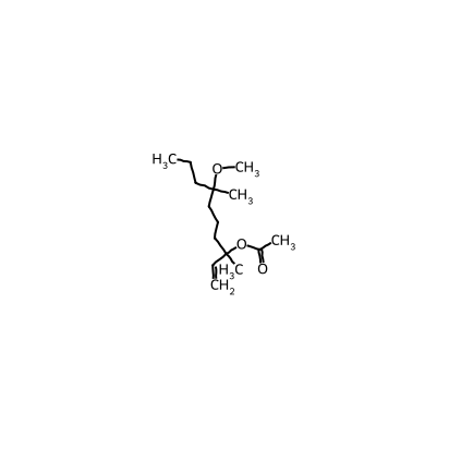 C=CC(C)(CCCC(C)(CCC)OC)OC(C)=O